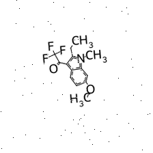 CCc1c(C(=O)C(F)(F)F)c2ccc(OC)cc2n1C